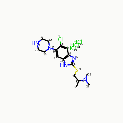 CC(CSc1nc2cc(Cl)c(N3CCNCC3)cc2[nH]1)N(C)C.Cl.Cl.Cl